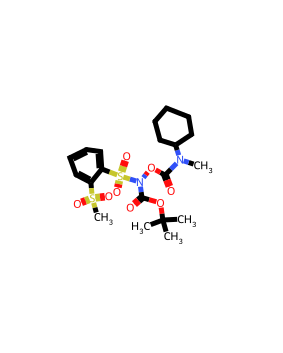 CN(C(=O)ON(C(=O)OC(C)(C)C)S(=O)(=O)c1ccccc1S(C)(=O)=O)C1CCCCC1